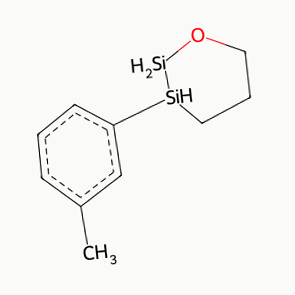 Cc1cccc([SiH]2CCCO[SiH2]2)c1